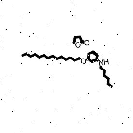 CCCCCCCCCCCCCCOc1cccc(NCCCCCC)c1.O=C1CC=CO1